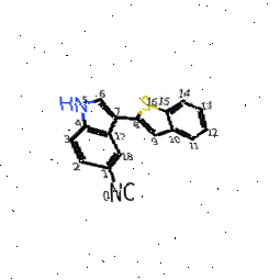 [C-]#[N+]c1ccc2[nH]cc(-c3cc4ccccc4s3)c2c1